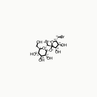 OC[C@H]1O[C@H](O[C@]2(CBr)O[C@H](CBr)[C@@H](O)[C@@H]2O)[C@H](O)[C@@H](O)[C@@H]1O